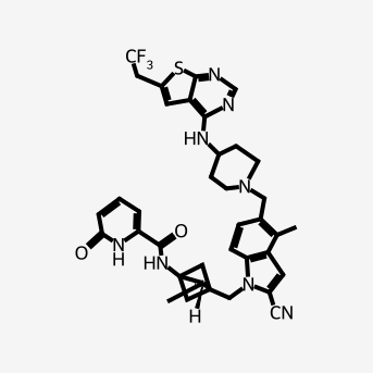 Cc1c(CN2CCC(Nc3ncnc4sc(CC(F)(F)F)cc34)CC2)ccc2c1cc(C#N)n2CC12CC(NC(=O)c3cccc(=O)[nH]3)(C1)[C@H]2C